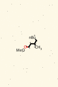 CCCCCC(C)CCOOC